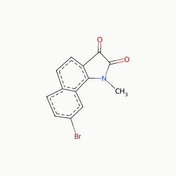 CN1C(=O)C(=O)c2ccc3ccc(Br)cc3c21